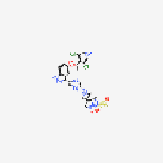 C[C@@H](Oc1ccc2[nH]nc(-c3cnc(N4CC5(C4)CN(S(C)(=O)=O)C5)cn3)c2c1)c1c(Cl)cncc1Cl